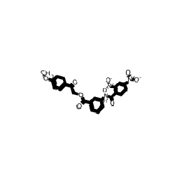 COc1ccc(C(=O)COC(=O)c2cccc(NC(=O)c3ccc([N+](=O)[O-])cc3[N+](=O)[O-])c2)cc1